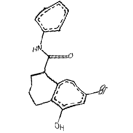 O=C(Nc1ccccc1)C1CCCc2c(O)cc(Br)cc21